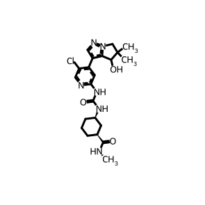 CNC(=O)[C@H]1CCC[C@@H](NC(=O)Nc2cc(-c3cnn4c3C(O)C(C)(C)C4)c(Cl)cn2)C1